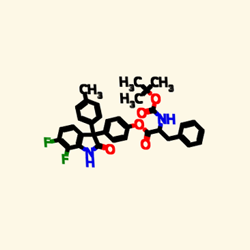 Cc1ccc(C2(c3ccc(OC(=O)C(Cc4ccccc4)NC(=O)OC(C)(C)C)cc3)C(=O)Nc3c2ccc(F)c3F)cc1